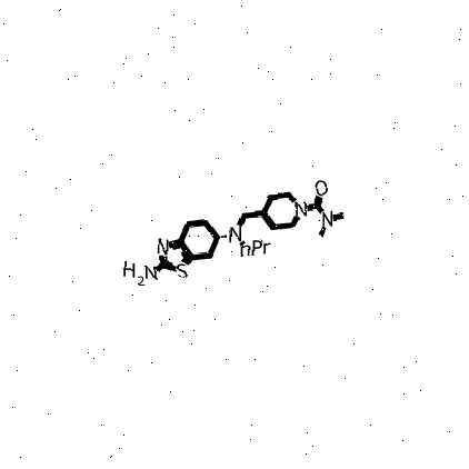 CCCN(CC1CCN(C(=O)N(C)C)CC1)[C@H]1CCc2nc(N)sc2C1